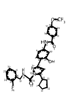 O=C(Nc1ccc(-c2cc(C3CCCC3)n(C(=O)NCc3ccccc3F)n2)c(O)c1)c1ccc(OC(F)(F)F)cc1